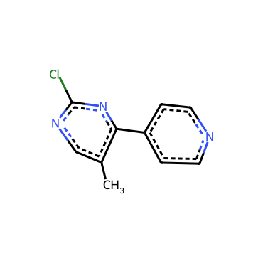 Cc1cnc(Cl)nc1-c1ccncc1